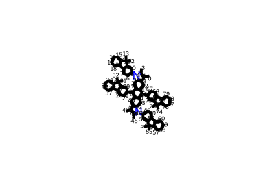 Cc1c(C)n(-c2ccc3c(c2)C(C)(C)c2ccccc2-3)c2cc3c(-c4ccc5c(c4)C(C)(C)c4ccccc4-5)c4cc5c(C)c(C)n(-c6ccc7c(c6)C(C)(C)c6ccccc6-7)c5cc4c(-c4ccc5c(c4)C(C)(C)c4ccccc4-5)c3cc12